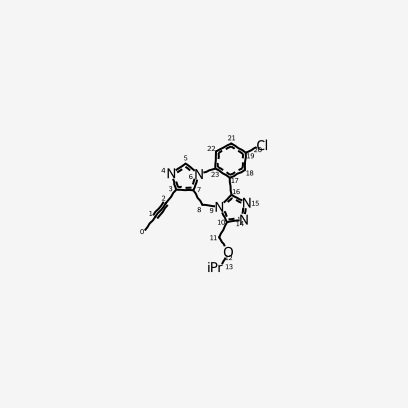 CC#Cc1ncn2c1Cn1c(COC(C)C)nnc1-c1cc(Cl)ccc1-2